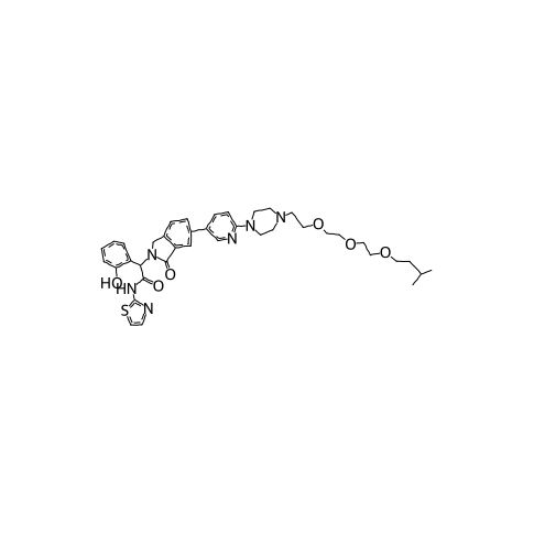 CC(C)CCOCCOCCOCCN1CCN(c2ccc(-c3ccc4c(c3)C(=O)N(C(C(=O)Nc3nccs3)c3ccccc3O)C4)cn2)CC1